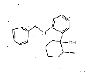 CC1CCCCC1(O)c1ccccc1OCc1ccccc1